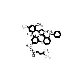 CC(C)=C[CH]=[Ru]([Cl])[Cl].Cc1cc(C)c(C2CNC(=C3CC=CC=C3P(C)c3ccccc3)N2c2c(C)cc(C)cc2C)c(C)c1